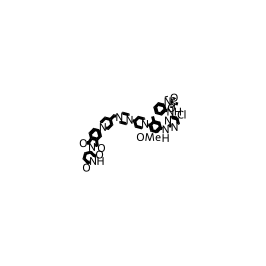 COc1cc(N2CCC(N3CCN(CC4CCN(c5ccc6c(c5)C(=O)N(C5CCC(=O)NC5=O)C6=O)CC4)CC3)CC2)c(C)cc1Nc1ncc(Cl)c(Nc2ccccc2N(C)S(C)(=O)=O)n1